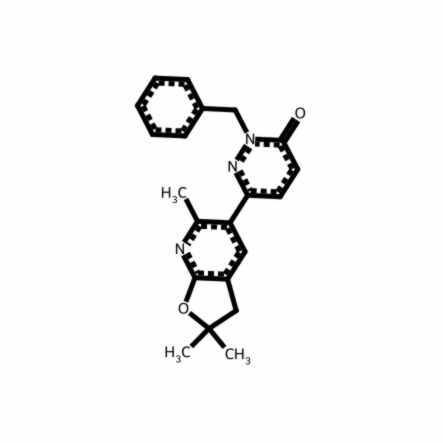 Cc1nc2c(cc1-c1ccc(=O)n(Cc3ccccc3)n1)CC(C)(C)O2